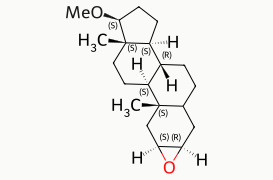 CO[C@H]1CC[C@H]2[C@@H]3CCC4C[C@H]5O[C@H]5C[C@]4(C)[C@H]3CC[C@]12C